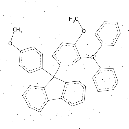 COc1ccc(C2(c3ccc(OC)c([S+](c4ccccc4)c4ccccc4)c3)c3ccccc3-c3ccccc32)cc1